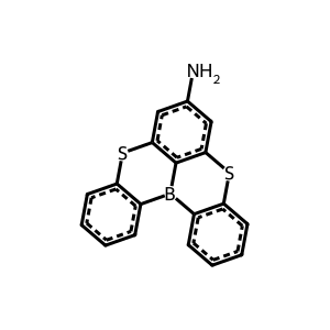 Nc1cc2c3c(c1)Sc1ccccc1B3c1ccccc1S2